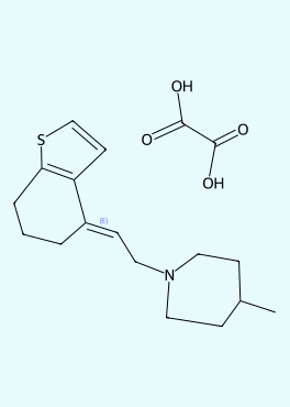 CC1CCN(C/C=C2\CCCc3sccc32)CC1.O=C(O)C(=O)O